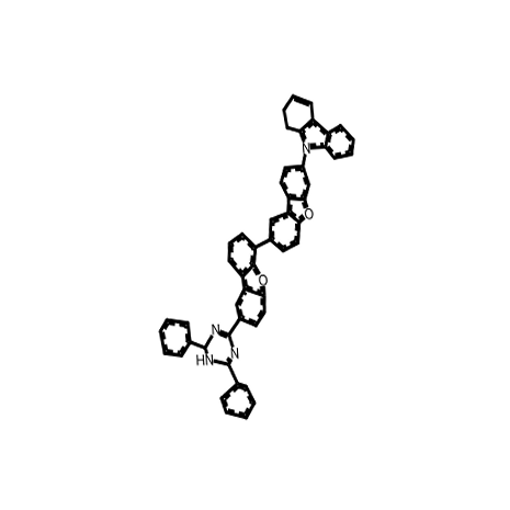 C1=Cc2c(n(-c3ccc4c(c3)oc3ccc(-c5cccc6c5oc5ccc(C7=NC(c8ccccc8)NC(c8ccccc8)=N7)cc56)cc34)c3ccccc23)CC1